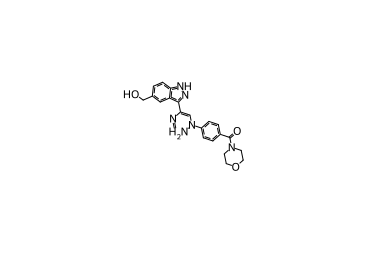 C=N/C(=C\N(N)c1ccc(C(=O)N2CCOCC2)cc1)c1n[nH]c2ccc(CO)cc12